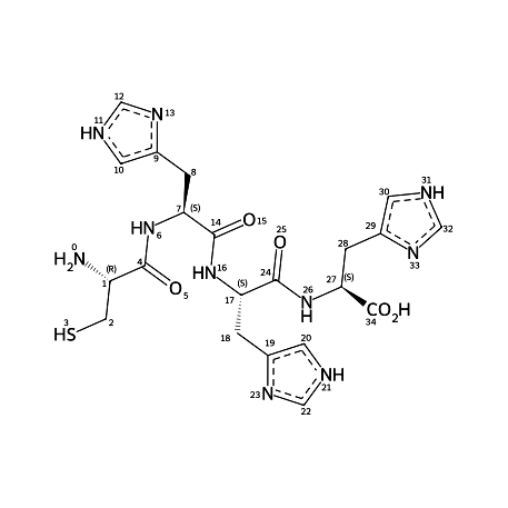 N[C@@H](CS)C(=O)N[C@@H](Cc1c[nH]cn1)C(=O)N[C@@H](Cc1c[nH]cn1)C(=O)N[C@@H](Cc1c[nH]cn1)C(=O)O